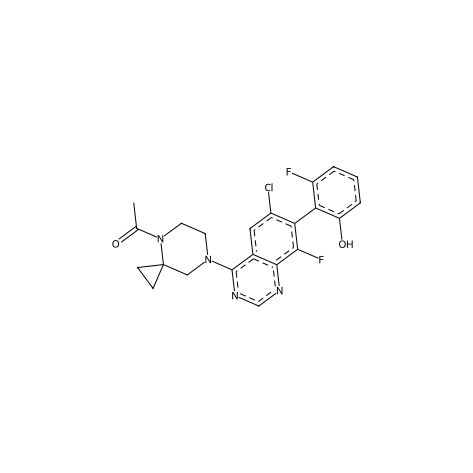 CC(=O)N1CCN(c2ncnc3c(F)c(-c4c(O)cccc4F)c(Cl)cc23)CC12CC2